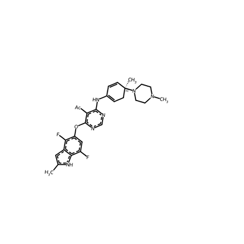 CC(=O)c1c(NC2=CC[C@](C)(N3CCN(C)CC3)C=C2)ncnc1Oc1cc(F)c2[nH]c(C)cc2c1F